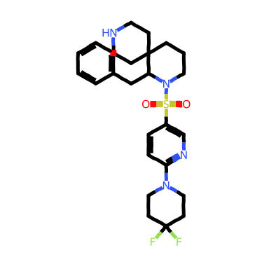 O=S(=O)(c1ccc(N2CCC(F)(F)CC2)nc1)N1CCCC2(CCNCC2)C1Cc1ccccc1